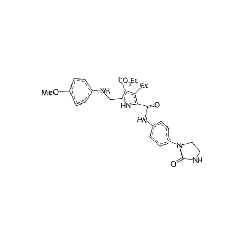 CCOC(=O)c1c(CNc2ccc(OC)cc2)[nH]c(C(=O)Nc2ccc(N3CCNC3=O)cc2)c1CC